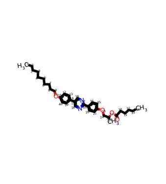 CCCCCCCCCCOc1ccc(-c2cnc(-c3ccc(OCC(C)OC(=O)CCCCC)cc3)nc2)cc1